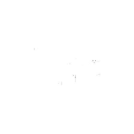 COC(=O)C(CS)NC(=O)C(C)c1ccc(CC(C)C)cc1